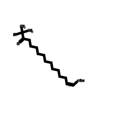 CCCCCC/C=C\CCCCCCCCCCCC(=O)C(C)(C)CC